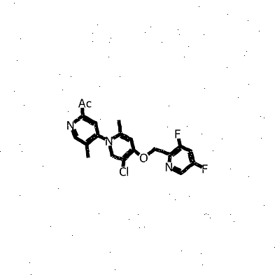 CC(=O)c1cc(N2CC(Cl)=C(OCc3ncc(F)cc3F)C=C2C)c(C)cn1